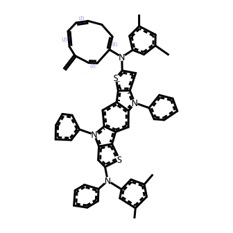 C=C1/C=C\C=C/C/C=C(N(c2cc(C)cc(C)c2)c2cc3c(s2)c2cc4c(cc2n3-c2ccccc2)c2sc(N(c3ccccc3)c3cc(C)cc(C)c3)cc2n4-c2ccccc2)\C=C/1